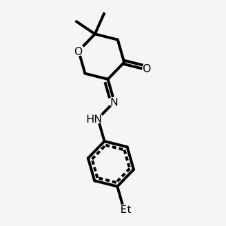 CCc1ccc(N/N=C2\COC(C)(C)CC2=O)cc1